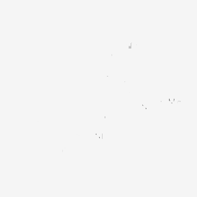 CCCOC(=O)OC1=C(c2cc(C)ccc2C)C(=O)NC12CCN(OC)CC2